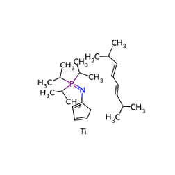 CC(C)C=CC=CC(C)C.CC(C)P(=NC1=CC=CC1)(C(C)C)C(C)C.[Ti]